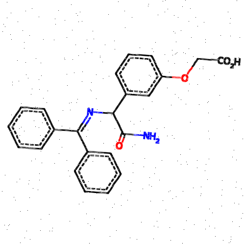 NC(=O)C(N=C(c1ccccc1)c1ccccc1)c1cccc(OCC(=O)O)c1